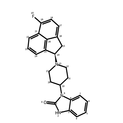 O=c1[nH]c2ccccc2n1C1CCN([C@@H]2Cc3ccc(F)c4cccc2c34)CC1